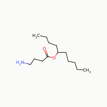 CCCCCC(CCCC)OC(=O)CCCN